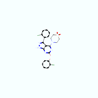 O=S1(=O)CCN(c2nc(Oc3ccccc3F)nc3[nH]nc(-c4ccccc4Cl)c23)CC1